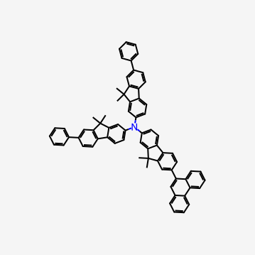 CC1(C)c2cc(-c3ccccc3)ccc2-c2ccc(N(c3ccc4c(c3)C(C)(C)c3cc(-c5ccccc5)ccc3-4)c3ccc4c(c3)C(C)(C)c3cc(-c5cc6ccccc6c6ccccc56)ccc3-4)cc21